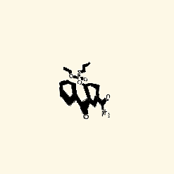 CCCSP(=O)(OCC)Oc1ccc(C(N)=O)cc1C(=O)c1ccccc1